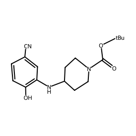 CC(C)(C)OC(=O)N1CCC(Nc2cc(C#N)ccc2O)CC1